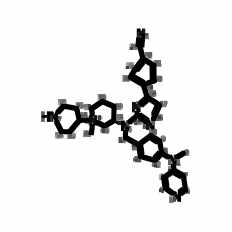 CN(c1ccncc1)c1ccc(CN(c2nccc(-c3ccc(C#N)cc3)n2)[C@H]2CCC[N+](C)(C3CCNCC3)C2)cc1